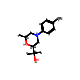 C[C@H]1CN(c2ccc(C(C)(C)C)cc2)C[C@@H](C(C)(C)O)O1